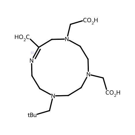 CC(C)(C)CN1CC/N=C(/C(=O)O)CN(CC(=O)O)CCN(CC(=O)O)CC1